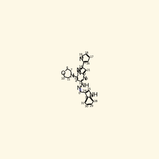 C(=N/Nc1cc(N2CCOCC2)n2nc(-c3ccccn3)cc2n1)/c1c[nH]c2ccccc12